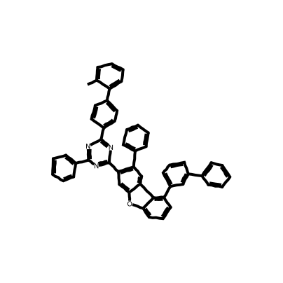 Cc1ccccc1-c1ccc(-c2nc(-c3ccccc3)nc(-c3cc4oc5cccc(-c6cccc(-c7ccccc7)c6)c5c4cc3-c3ccccc3)n2)cc1